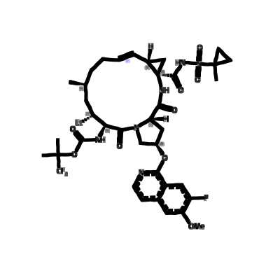 CC[C@@H]1C[C@@H](C)CC/C=C/[C@@H]2C[C@@]2(C(=O)NS(=O)(=O)C2(C)CC2)NC(=O)[C@@H]2C[C@@H](Oc3nccc4cc(OC)c(F)cc34)CN2C(=O)[C@H]1NC(=O)OC(C)(C)C(F)(F)F